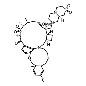 CO[C@]1(CN2CCN3CCS(=O)(=O)C[C@H]3C2)/C=C/C[C@H](C)[C@@H](C)S(=O)(=O)NC(=O)c2ccc3c(c2)N(CCCCC2C=C(Cl)C=CC2(C)CO3)C[C@@H]2CC[C@H]21